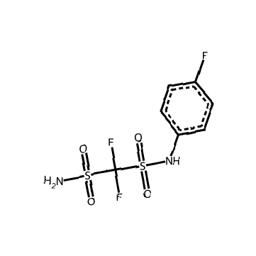 NS(=O)(=O)C(F)(F)S(=O)(=O)Nc1ccc(F)cc1